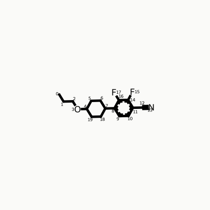 CCCOC1CCC(c2ccc(C#N)c(F)c2F)CC1